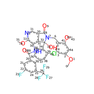 COc1ccc(CN2C(=O)c3cnc(OC)c(NC(=O)c4cc(F)cc(C(F)(F)F)c4)c3C2(O)c2ccccc2Cl)c(OC)c1